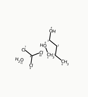 CCCCO.CO.ClC(Cl)Cl.O